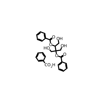 O=C(O)c1ccccc1.O=C(OC(CO)C(CO)(CO)OC(=O)c1ccccc1)c1ccccc1